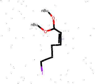 CCCCOC(/C=C\CCCI)OCCCC